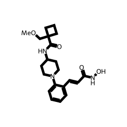 COCC1(C(=O)NC2CCN(c3ccccc3/C=C/C(=O)NO)CC2)CCC1